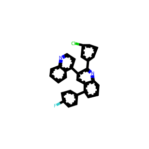 Fc1ccc(-c2cccc3nc(-c4cccc(Cl)c4)c(-c4ccnc5ccccc45)[c]c23)cc1